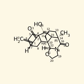 C=C1C(=O)C23CC[C@H]1CC2[C@@]12CCC[C@@](C)(C(=O)N4CCO[C@H]41)C2C[C@H]3O